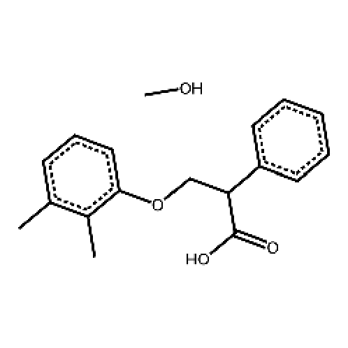 CO.Cc1cccc(OCC(C(=O)O)c2ccccc2)c1C